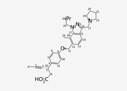 CC#C[C@@H](CC(=O)O)c1ccc(OCc2ccc3c(CN4CCCC4)nn(CC(C)C)c3c2C)cc1